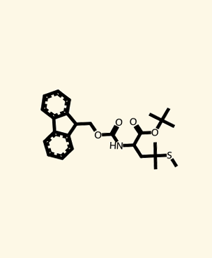 CSC(C)(C)CC(NC(=O)OCC1c2ccccc2-c2ccccc21)C(=O)OC(C)(C)C